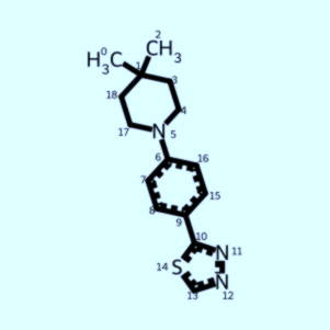 CC1(C)CCN(c2ccc(-c3nncs3)cc2)CC1